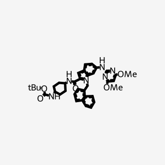 COc1cc(OC)nc(Nc2ccc3cc(C(=O)NC4CCC(NC(=O)OC(C)(C)C)CC4)n(Cc4cccc5ccccc45)c3c2)n1